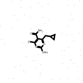 CSc1nc(Cl)c(C(N)=O)c(CC2CC2)n1